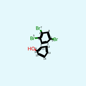 Brc1ccc(Br)c(Br)c1.Oc1ccccc1